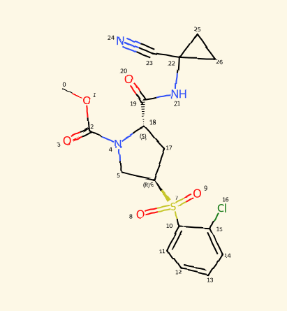 COC(=O)N1C[C@H](S(=O)(=O)c2ccccc2Cl)C[C@H]1C(=O)NC1(C#N)CC1